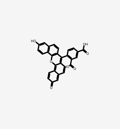 O=C(O)c1ccc(-c2c3ccc4cc(O)ccc4c3oc3c2ccc2cc(=O)ccc23)c(C(=O)O)c1